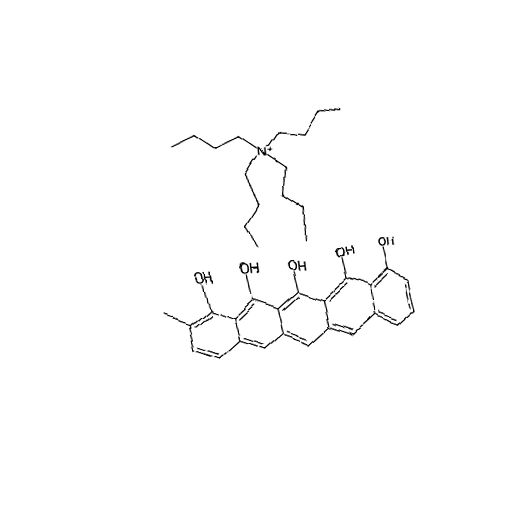 CCCC[N+](CCCC)(CCCC)CCCC.Cc1ccc2cc3cc4cc5cccc(O)c5c(O)c4c(O)c3c(O)c2c1O